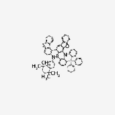 CC1(C)CCC(C)(C)c2cc(N3B4c5cccc6c5N(c5ccccc5C6(c5ccccc5)c5ccccc5)c5c4c(cc4c5oc5ccccc54)-c4c3ccc3sc5ccccc5c43)ccc21